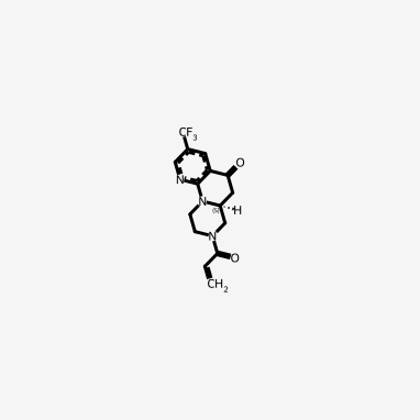 C=CC(=O)N1CCN2c3ncc(C(F)(F)F)cc3C(=O)C[C@H]2C1